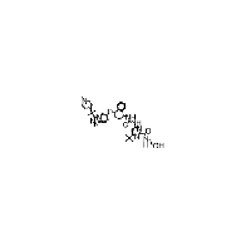 CN1CCN(C(C)(C)c2nnc3ccc(O[C@@H]4CC[C@H](NC(=O)Nc5cc(C(C)(C)C)nc(C(=O)NCCO)n5)c5ccccc54)cn23)CC1